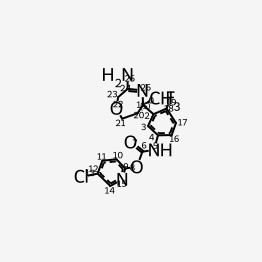 C[C@@]1(c2cc(NC(=O)Oc3ccc(Cl)cn3)ccc2F)CCOCC(N)=N1